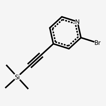 C[Si](C)(C)C#Cc1ccnc(Br)c1